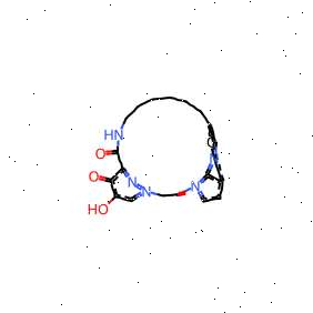 O=C1NCCCCCCc2cnc3c(ccn3C3(CCCC3)Cn3cc(O)c(=O)c1n3)c2